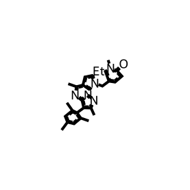 CCc1cc2c(C)nc3c(-c4c(C)cc(C)cc4C)c(C)nn3c2n1Cc1ccc(=O)n(C)c1